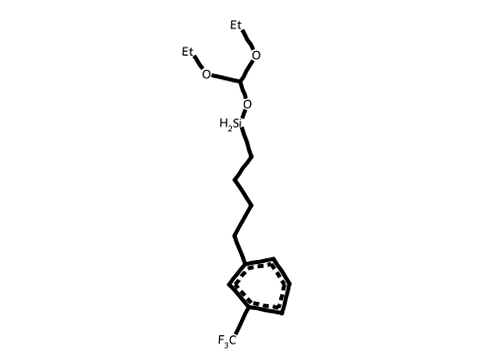 CCOC(OCC)O[SiH2]CCCCc1cccc(C(F)(F)F)c1